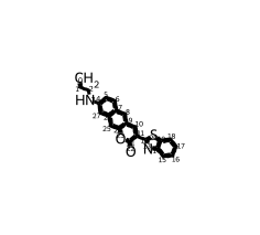 C=CCNc1ccc2cc3cc(-c4nc5ccccc5s4)c(=O)oc3cc2c1